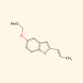 C/C=C/c1cc2cc(OCOC)ccc2s1